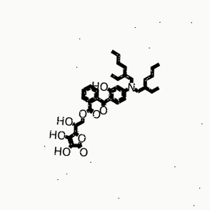 CCCCC(CC)CN(CC(CC)CCCC)c1ccc(C(=O)c2ccccc2C(=O)OCC(O)C2OC(=O)C(O)=C2O)c(O)c1